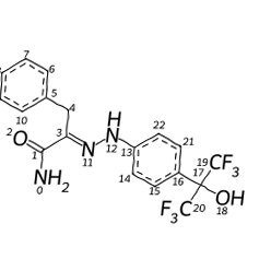 NC(=O)/C(Cc1ccccc1)=N/Nc1ccc(C(O)(C(F)(F)F)C(F)(F)F)cc1